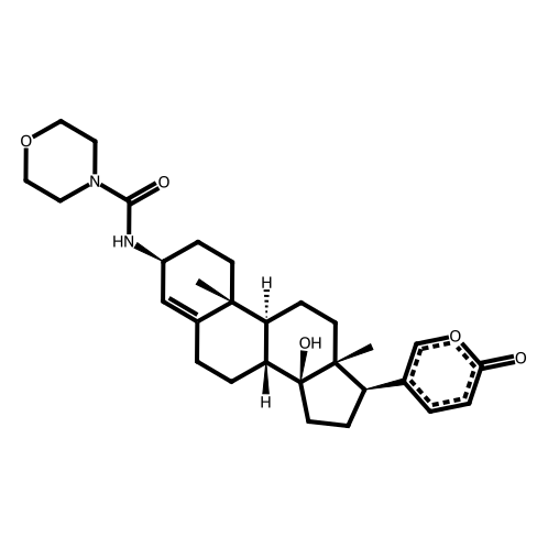 C[C@]12CC[C@H](NC(=O)N3CCOCC3)C=C1CC[C@@H]1[C@@H]2CC[C@]2(C)[C@@H](c3ccc(=O)oc3)CC[C@]12O